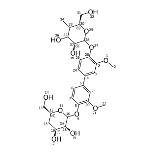 COc1cc(-c2ccc(OC3O[C@H](CO)C[C@H](O)[C@@H]3O)c(OC)c2)ccc1OC1O[C@H](CO)C(C)C(O)[C@@H]1O